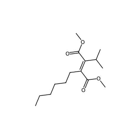 CCCCCCC(C(=O)OC)=C(C(=O)OC)C(C)C